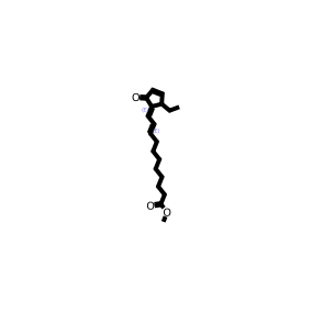 CCC1C=CC(=O)/C1=C/C=C/CCCCCCCC(=O)OC